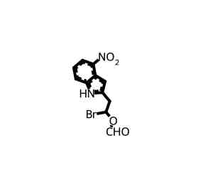 O=COC(Br)Cc1cc2c([N+](=O)[O-])cccc2[nH]1